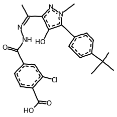 C/C(=N/NC(=O)c1ccc(C(=O)O)c(Cl)c1)c1nn(C)c(-c2ccc(C(C)(C)C)cc2)c1O